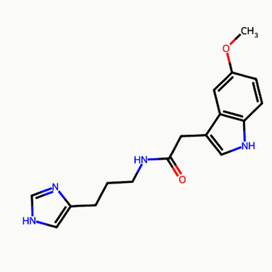 COc1ccc2[nH]cc(CC(=O)NCCCc3c[nH]cn3)c2c1